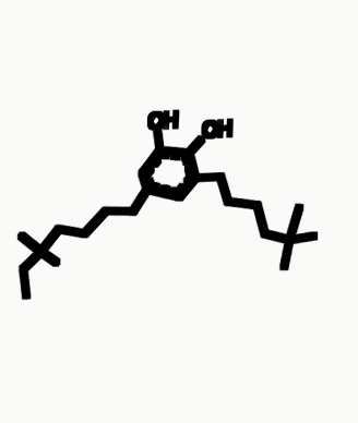 CCC(C)(C)CCCCc1cc(O)c(O)c(CCCCC(C)(C)C)c1